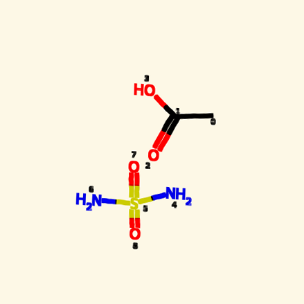 CC(=O)O.NS(N)(=O)=O